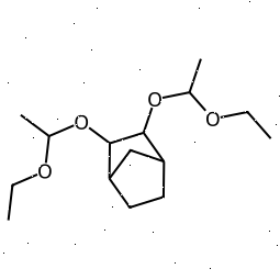 CCOC(C)OC1C2CCC(C2)C1OC(C)OCC